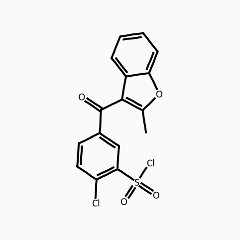 Cc1oc2ccccc2c1C(=O)c1ccc(Cl)c(S(=O)(=O)Cl)c1